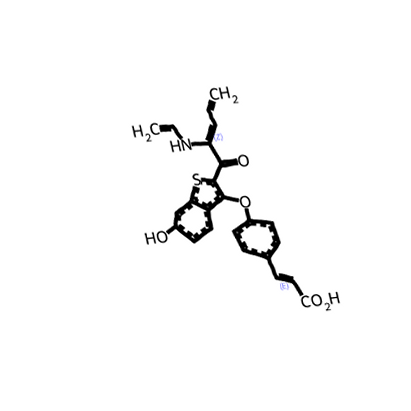 C=C/C=C(\NC=C)C(=O)c1sc2cc(O)ccc2c1Oc1ccc(/C=C/C(=O)O)cc1